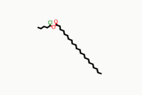 CCCCCCCCCCCCCCCCCCCCCC(=O)OC(Cl)CCCC